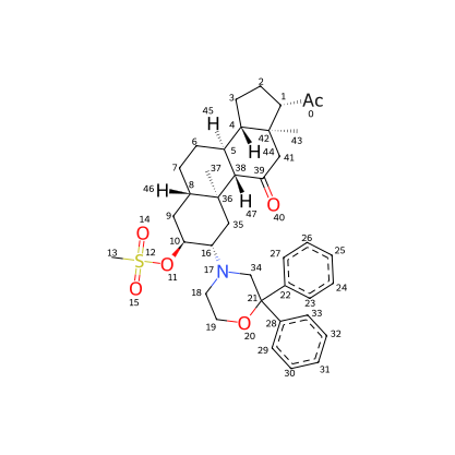 CC(=O)[C@H]1CC[C@H]2[C@@H]3CC[C@H]4C[C@H](OS(C)(=O)=O)[C@@H](N5CCOC(c6ccccc6)(c6ccccc6)C5)C[C@]4(C)[C@H]3C(=O)C[C@]12C